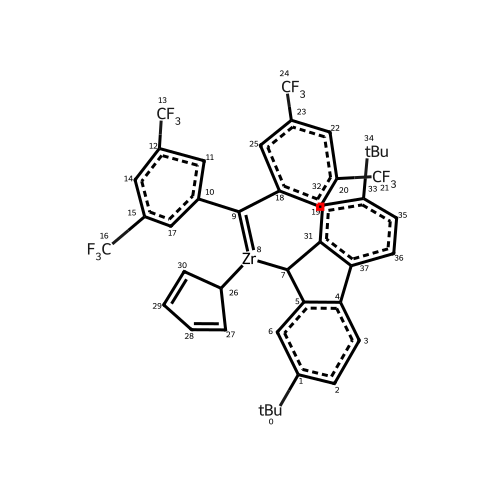 CC(C)(C)c1ccc2c(c1)[CH]([Zr](=[C](c1cc(C(F)(F)F)cc(C(F)(F)F)c1)c1cc(C(F)(F)F)cc(C(F)(F)F)c1)[CH]1C=CC=C1)c1cc(C(C)(C)C)ccc1-2